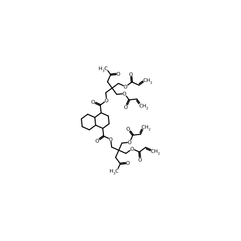 C=CC(=O)OCC(COC(=O)C=C)(COC(=O)C1CCC(C(=O)OCC(COC(=O)C=C)(COC(=O)C=C)CC(C)=O)C2CCCCC12)CC(C)=O